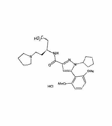 COc1cccc(OC)c1-c1cc(C(=O)N[C@@H](CCN2CCCC2)CC(=O)O)nn1C1CCCC1.Cl